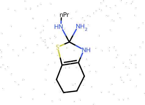 CCCNC1(N)NC2=C(CCCC2)S1